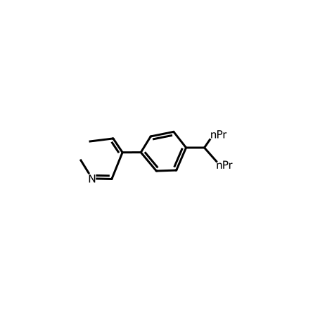 C/C=C(\C=N/C)c1ccc(C(CCC)CCC)cc1